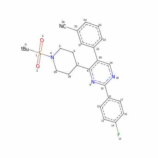 CC(C)(C)S(=O)(=O)N1CCC(c2nc(-c3ccc(F)cc3)ncc2-c2cccc(C#N)c2)CC1